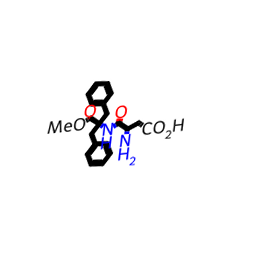 COC(=O)C(Cc1ccccc1)(Cc1ccccc1)NC(=O)C(N)CC(=O)O